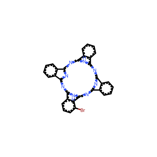 Brc1cccc2c3nc4nc(nc5[nH]c(nc6nc(nc([nH]3)c12)-c1ccccc1-6)c1ccccc51)-c1ccccc1-4